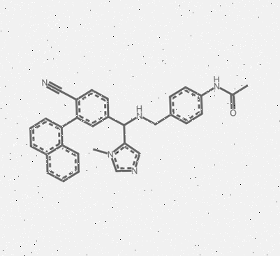 CC(=O)Nc1ccc(CNC(c2ccc(C#N)c(-c3cccc4ccccc34)c2)c2cncn2C)cc1